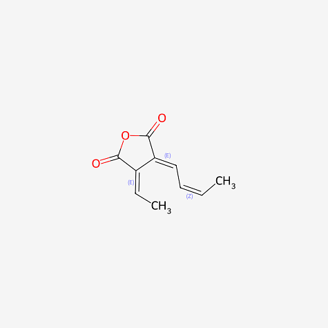 C\C=C/C=C1/C(=O)OC(=O)/C1=C/C